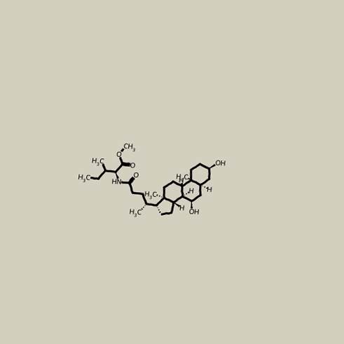 CCC(C)[C@H](NC(=O)CC[C@@H](C)[C@H]1CC[C@H]2[C@@H]3[C@H](O)C[C@@H]4C[C@H](O)CC[C@]4(C)[C@H]3CC[C@]12C)C(=O)OC